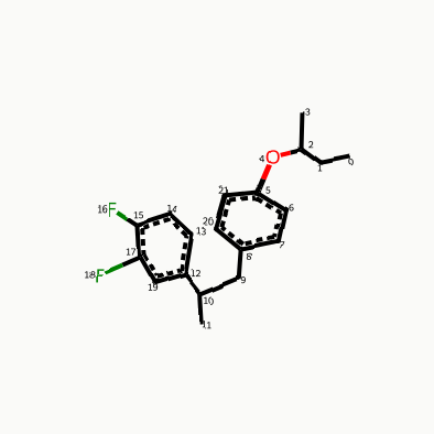 CCC(C)Oc1ccc(CC(C)c2ccc(F)c(F)c2)cc1